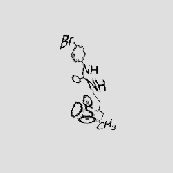 CC1CC(CCNC(=O)Nc2ccc(Br)cc2)S(=O)(=O)O1